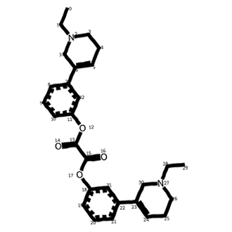 CCN1CCC=C(c2cccc(OC(=O)C(=O)Oc3cccc(C4=CCCN(CC)C4)c3)c2)C1